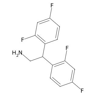 NCC(c1ccc(F)cc1F)c1ccc(F)cc1F